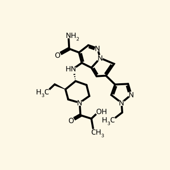 CC[C@@H]1CN(C(=O)C(C)O)CC[C@H]1Nc1c(C(N)=O)cnn2cc(-c3cnn(CC)c3)cc12